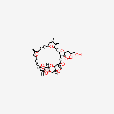 C=C1CC2CC[C@@]34C[C@H]5OC6C(O3)[C@H]3OC(CCC3O[C@H]6C5O4)CC(=O)CC3C(CC4OC(CCC1O2)C[C@@H](C)C4=C)OC(CC(O)CO)[C@@H]3OC